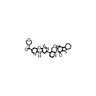 Cn1nc(-c2ccnc(-n3ncc4c5c(sc4c3=O)CCCC5)c2CO)cc(Nc2ccc(C(=O)N3CCOCC3)cn2)c1=O